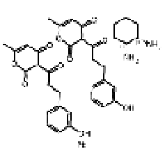 CC1=CC(=O)C(C(=O)CCc2cccc(O)c2)C(=O)O1.CC1=CC(=O)C(C(=O)CCc2cccc(O)c2)C(=O)O1.N[C@@H]1CCCC[C@@H]1N.[Pt]